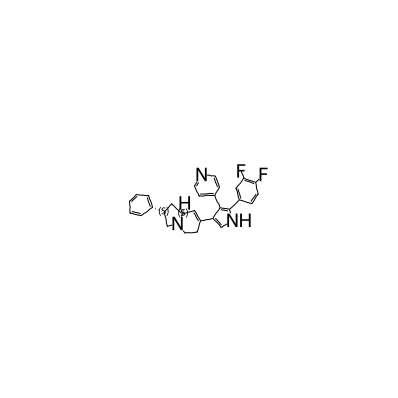 Fc1ccc(-c2[nH]cc(C3=C[C@@H]4C[C@@H](c5ccccc5)CN4CC3)c2-c2ccncc2)cc1F